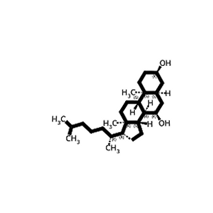 CC(C)CCC[C@@H](C)[C@H]1CC[C@H]2[C@@H]3[C@H](O)C[C@@H]4C[C@H](O)CC[C@]4(C)[C@H]3CC[C@]12C